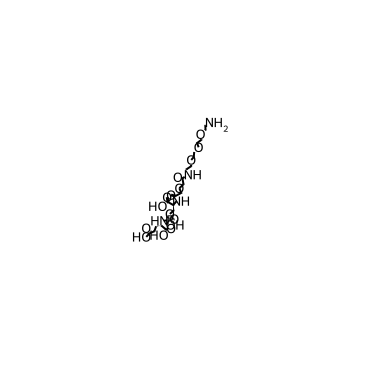 NCCOCCOCCOCCNC(=O)COCC(=O)N[C@@H](COP(=O)(O)N[C@@H](CCC(=O)O)C(=O)O)C(=O)O